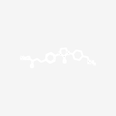 COC(=O)CCc1ccc(N2CCN(C3CCC(CN)CC3)C2=O)cc1